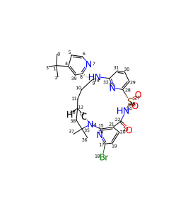 CC(C)(C)c1ccnc([C@H]2CC[C@@H]3CN(c4nc(Br)ccc4C(=O)NS(=O)(=O)c4cccc(n4)N2)C(C)(C)C3)c1